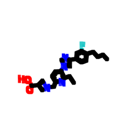 CCCCc1ccc(-c2cn(-c3ccc(CN4CC(C(=O)O)C4)nc3CC)cn2)cc1F